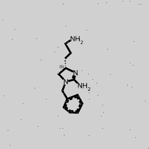 NCCC[C@H]1CN(Cc2ccccc2)C(N)=N1